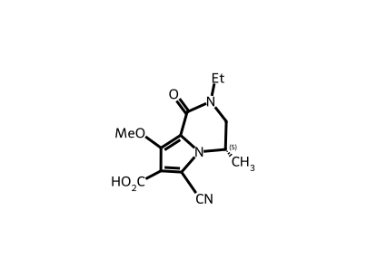 CCN1C[C@H](C)n2c(C#N)c(C(=O)O)c(OC)c2C1=O